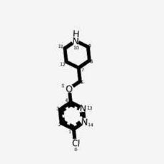 Clc1ccc(OCC2CCNCC2)nn1